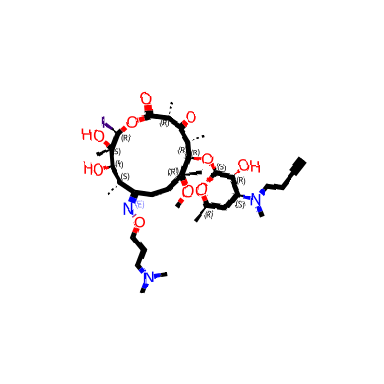 C#CCCN(C)[C@H]1C[C@@H](C)O[C@@H](O[C@@H]2[C@@H](C)C(=O)[C@@H](C)C(=O)O[C@H](I)[C@@](C)(O)[C@H](O)[C@@H](C)/C(=N/OCCCN(C)C)CC[C@@]2(C)OC)[C@@H]1O